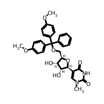 COc1ccc(C(OC[C@H]2O[C@@H](c3cn(C)c(=O)[nH]c3=O)[C@H](O)[C@@H]2O)(c2ccccc2)c2ccc(OC)cc2)cc1